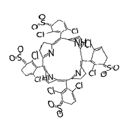 O=S(=O)=C1CC=C(Cl)C(c2c3nc(c(C4=C(Cl)C(=S(=O)=O)CC=C4Cl)c4ccc([nH]4)c(C4=C(Cl)C(=S(=O)=O)CC=C4Cl)c4nc(c(C5=C(Cl)C(=S(=O)=O)CC=C5Cl)c5ccc2[nH]5)CC4)CC3)=C1Cl